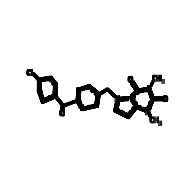 Cn1c(=O)c2c(ccn2Cc2ccc(C(=O)c3ccc(Cl)cc3)cc2)n(C)c1=O